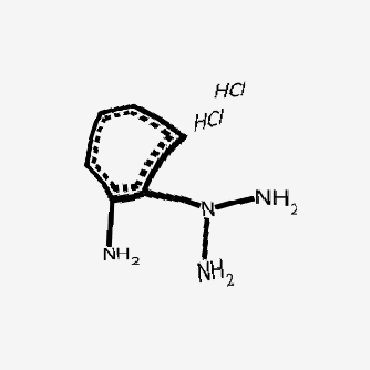 Cl.Cl.Nc1ccccc1N(N)N